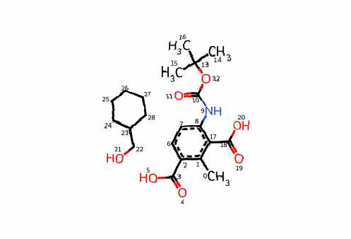 Cc1c(C(=O)O)ccc(NC(=O)OC(C)(C)C)c1C(=O)O.OCC1CCCCC1